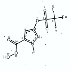 Cn1nc(OS(=O)(=O)C(F)(F)F)cc1C(=O)OO